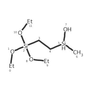 CCO[Si](CC[SiH](C)O)(OCC)OCC